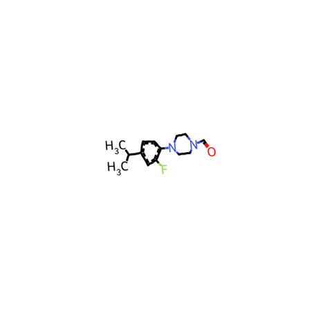 CC(C)c1ccc(N2CCN(C=O)CC2)c(F)c1